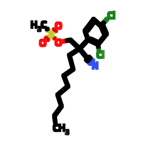 CCCCCCCCC(C#N)(COS(C)(=O)=O)c1ccc(Cl)cc1Cl